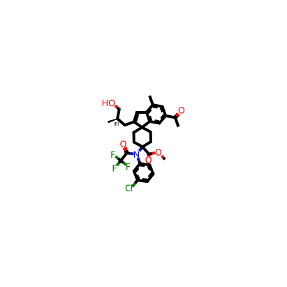 COC(=O)C1(N(C(=O)C(F)(F)F)c2cccc(Cl)c2)CCC2(CC1)C(C[C@@H](C)CO)=Cc1c(C)cc(C(C)=O)cc12